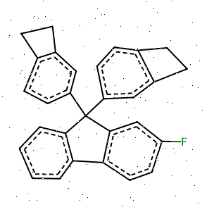 Fc1ccc2c(c1)C(c1ccc3c(c1)CC3)(c1ccc3c(c1)CC3)c1ccccc1-2